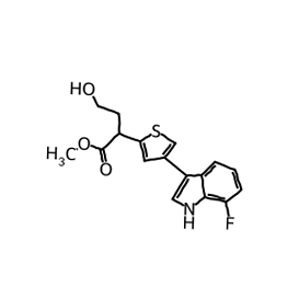 COC(=O)C(CCO)c1cc(-c2c[nH]c3c(F)cccc23)cs1